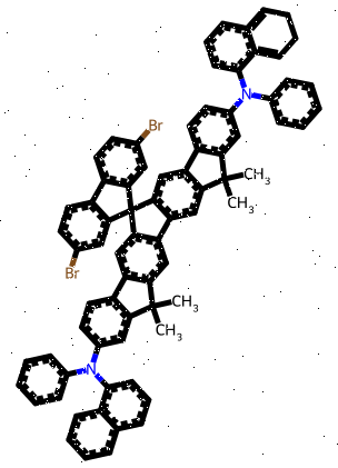 CC1(C)c2cc(N(c3ccccc3)c3cccc4c3=CCCC=4)ccc2-c2cc3c(cc21)-c1cc2c(cc1C31c3cc(Br)ccc3-c3ccc(Br)cc31)-c1ccc(N(c3ccccc3)c3cccc4ccccc34)cc1C2(C)C